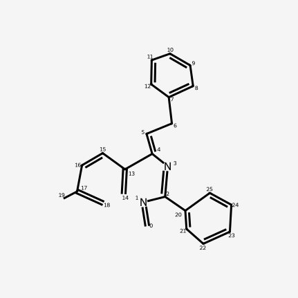 C=N/C(=N\C(=C/Cc1ccccc1)C(=C)/C=C\C(=C)C)c1ccccc1